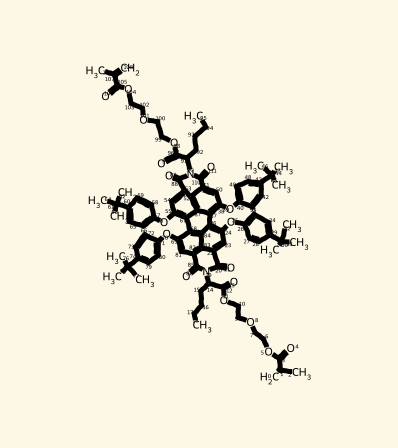 C=C(C)C(=O)OCCOCCOC(=O)C(CCCC)N1C(=O)c2cc(Oc3ccc(C(C)(C)C)cc3)c3c4c(Oc5ccc(C(C)(C)C)cc5)cc5c6c(cc(Oc7ccc(C(C)(C)C)cc7)c(c7c(Oc8ccc(C(C)(C)C)cc8)cc(c2c37)C1=O)c64)C(=O)N(C(CCCC)C(=O)OCCOCCOC(=O)C(=C)C)C5=O